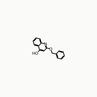 Oc1cc(OCc2ccccc2)nc2ccccc12